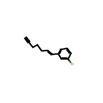 C#CCCC/C=C/c1cccc(Cl)c1